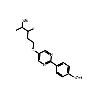 CCCCCCCCc1ccc(-c2ncc(OCCC(F)C(C)CCCC)cn2)cc1